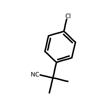 CC(C)(C#N)c1ccc(Cl)cc1